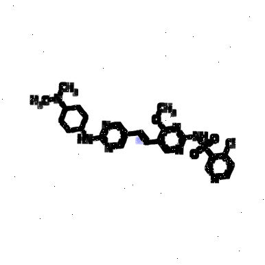 COc1nc(NS(=O)(=O)c2cnccc2Cl)ncc1/C=C/c1cnc(N[C@H]2CC[C@H](N(C)C)CC2)nc1